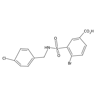 O=C(O)c1ccc(Br)c(S(=O)(=O)NCc2ccc(Cl)cc2)c1